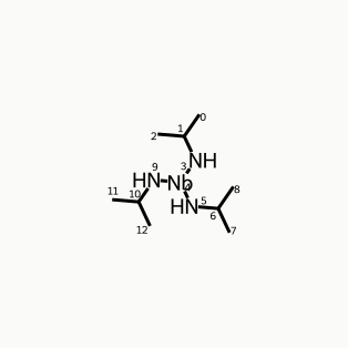 CC(C)[NH][Nb]([NH]C(C)C)[NH]C(C)C